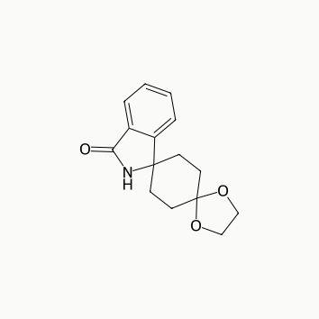 O=C1NC2(CCC3(CC2)OCCO3)c2ccccc21